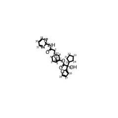 O=C(C[N+]12CCC(CC1)C(OC(=O)[C@](O)(c1ccco1)C1CCCC1)C2)Nc1ncccn1